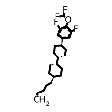 C=CCCC[C@H]1CC[C@H]([C@H]2CC[C@H](c3cc(F)c(OC(F)F)c(F)c3)CC2)CC1